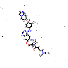 Cc1cc(Nc2ncnc3cc4c(cc23)N2CCN(C(=O)/C=C/CN(C)C)[C@@H](CO4)C2)ccc1Oc1ccn2ccnc2c1